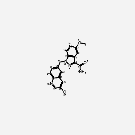 COc1cc2c(C(N)=O)nn(Cc3ccc4ncc(Cl)cc4c3)c2cn1